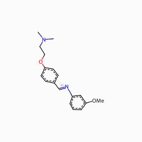 COc1cccc(/N=C/c2ccc(OCCN(C)C)cc2)c1